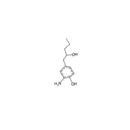 CCCC(O)Cc1ccc(O)c(N)c1